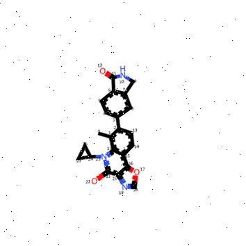 Cc1c(-c2ccc3c(c2)CNC3=O)ccc2c3ocnc3c(=O)n(C3CC3)c12